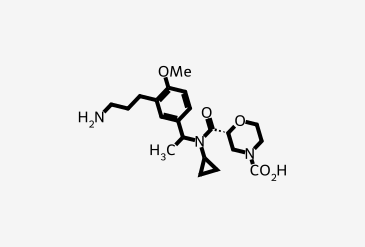 COc1ccc(C(C)N(C(=O)[C@H]2CN(C(=O)O)CCO2)C2CC2)cc1CCCN